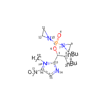 CCCCC(CCCC)C(OP(=O)(N1CC1)N1CC1)c1ncc([N+](=O)[O-])n1C